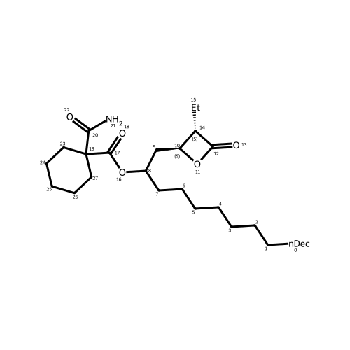 CCCCCCCCCCCCCCCCCC(C[C@@H]1OC(=O)[C@H]1CC)OC(=O)C1(C(N)=O)CCCCC1